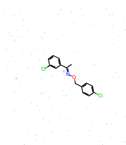 C/C(=N\OCc1ccc(Cl)cc1)c1cccc(Cl)c1